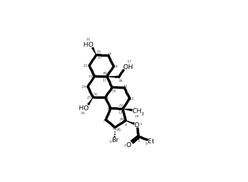 CCC(=O)O[C@H]1[C@H](Br)CC2C3C(CC[C@@]21C)[C@@]1(CO)CC[C@H](O)CC1C[C@@H]3O